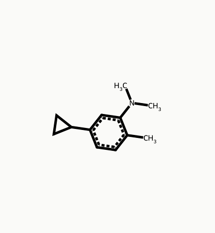 Cc1ccc(C2CC2)cc1N(C)C